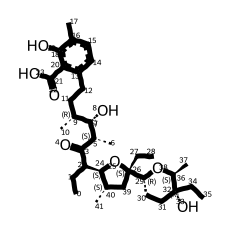 CCC(C(=O)[C@@H](C)[C@@H](O)[C@H](C)CCc1ccc(C)c(O)c1C(=O)O)[C@H]1O[C@](CC)([C@H]2CC[C@](O)(CC)[C@H](C)O2)C[C@@H]1C